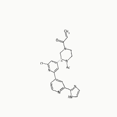 C=CC(=O)N1CCN(C(C)=O)[C@H](c2cc(Cl)nc(-c3ccnc(-c4ncc[nH]4)c3)c2)C1